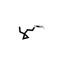 CCC1(CCON)CC1